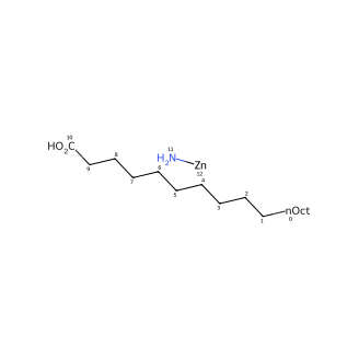 CCCCCCCCCCCCCCCCCC(=O)O.[NH2][Zn]